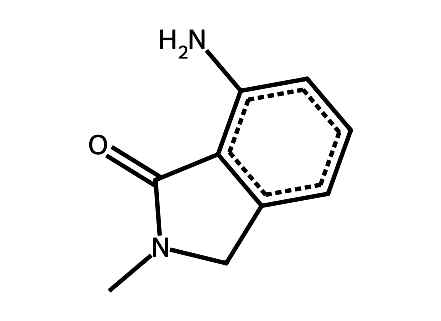 CN1Cc2cccc(N)c2C1=O